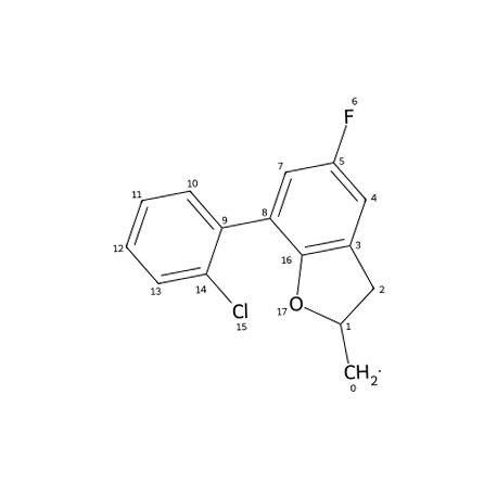 [CH2]C1Cc2cc(F)cc(-c3ccccc3Cl)c2O1